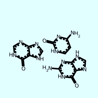 Nc1cc[nH]c(=O)n1.Nc1nc2[nH]cnc2c(=O)[nH]1.O=c1[nH]cnc2nc[nH]c12